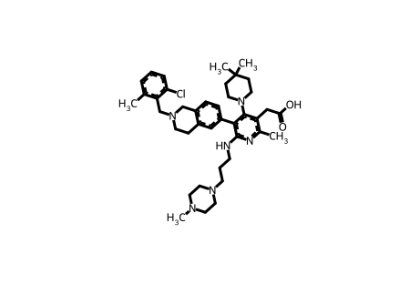 Cc1cccc(Cl)c1CN1CCc2cc(-c3c(NCCCN4CCN(C)CC4)nc(C)c(CC(=O)O)c3N3CCC(C)(C)CC3)ccc2C1